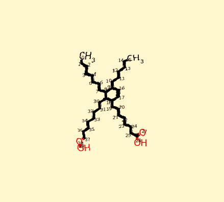 CCCCCCCCC1C(CCCCCC)C=CC(CCCCCCCC(=O)O)C1CCCCCCCCOO